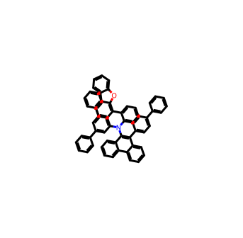 c1ccc(-c2ccc(-c3c(N(c4cc(-c5ccccc5)cc(-c5ccccc5)c4)c4ccccc4-c4cccc5c4oc4ccccc45)c4ccccc4c4ccccc34)cc2)cc1